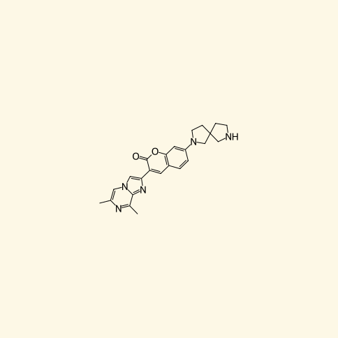 Cc1cn2cc(-c3cc4ccc(N5CCC6(CCNC6)C5)cc4oc3=O)nc2c(C)n1